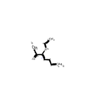 C=CC/C=C(\OC=C)C(=O)O